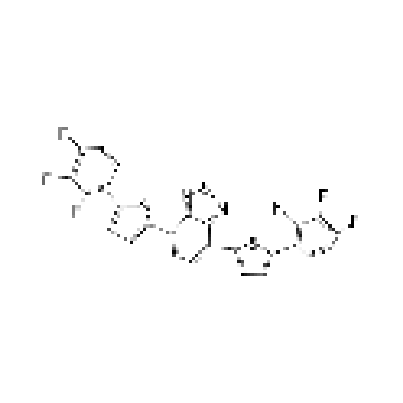 Fc1ccc(-c2ccc(-c3ccc(-c4ccc(-c5ccc(F)c(F)c5F)s4)c4nsnc34)s2)c(F)c1F